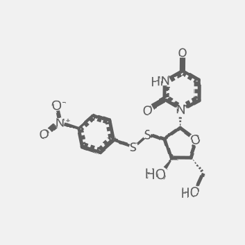 O=c1ccn([C@@H]2O[C@H](CO)[C@@H](O)C2SSc2ccc([N+](=O)[O-])cc2)c(=O)[nH]1